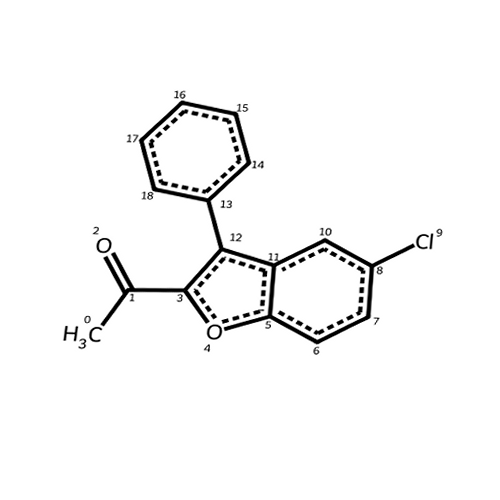 CC(=O)c1oc2ccc(Cl)cc2c1-c1ccccc1